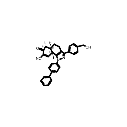 C[C@H]1C(=O)C(C#N)=C[C@@]2(C)c3c(c(-c4ccc(CO)cc4)nn3-c3ccc(-c4ccccc4)cc3)CC[C@H]12